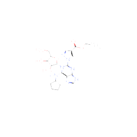 CCOC(=O)c1cnn(-c2nc3ncnc-3c(NC3CCCC3)n2C2OC(CO)C(O)C2O)c1